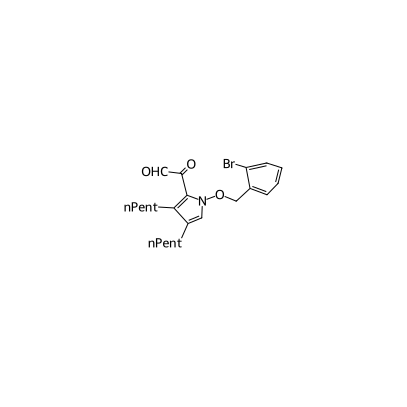 CCCCCc1cn(OCc2ccccc2Br)c(C(=O)C=O)c1CCCCC